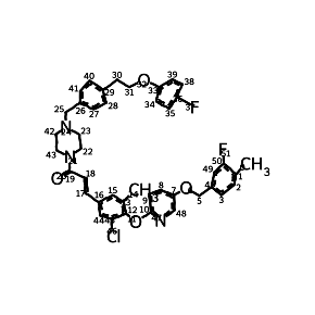 Cc1ccc(COc2ccc(Oc3c(C)cc(C=CC(=O)N4CCN(Cc5ccc(CCOc6ccc(F)cc6)cc5)CC4)cc3Cl)nc2)cc1F